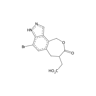 O=C(O)CC1Cc2cc(Br)c3[nH]ncc3c2COC1=O